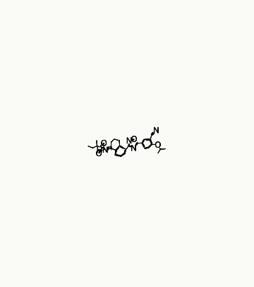 CCC(C)S(=O)(=O)N[C@@H]1CCCc2c(-c3noc(-c4ccc(OC(C)C)c(C#N)c4)n3)cccc21